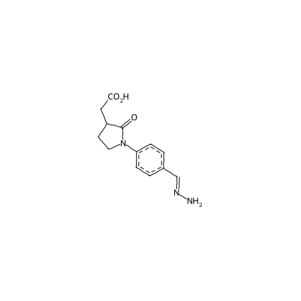 NN=Cc1ccc(N2CCC(CC(=O)O)C2=O)cc1